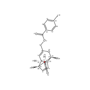 O=C(OCC1=C[C@H]2[C@@H]3C=C[C@H]2C(=O)O[C@@H]3O1)c1ccc(I)cc1